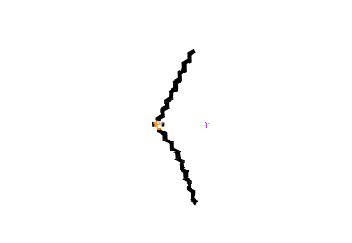 CCCCCCCCCCCCCCCC[P+](C)(C)CCCCCCCCCCCCCCCC.[I-]